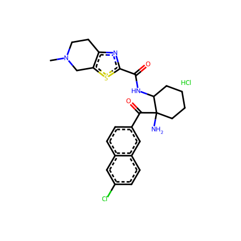 CN1CCc2nc(C(=O)NC3CCCCC3(N)C(=O)c3ccc4cc(Cl)ccc4c3)sc2C1.Cl